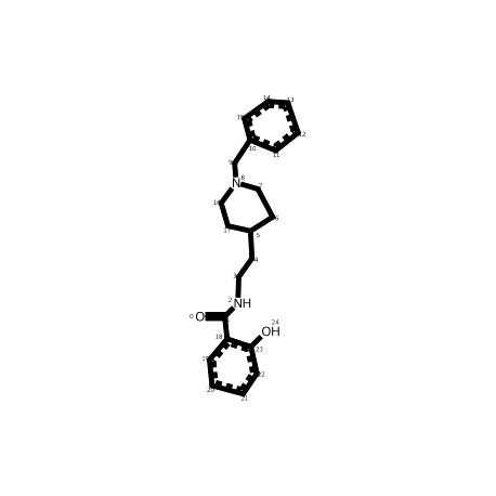 O=C(NCCC1CCN(Cc2ccccc2)CC1)c1ccccc1O